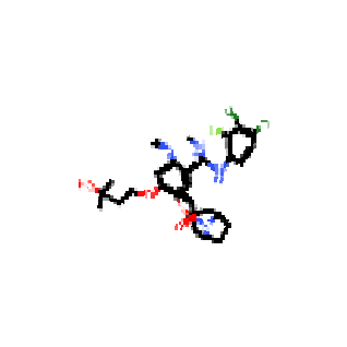 C=CC(=O)N1C2CCC1CC(Oc1cc(/C(=N\C)Nc3ccc(Cl)c(Cl)c3F)c(N=C)cc1OCCC(C)(C)O)C2